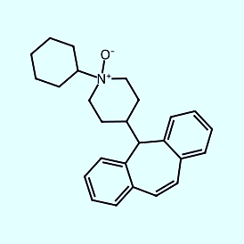 [O-][N+]1(C2CCCCC2)CCC(C2c3ccccc3C=Cc3ccccc32)CC1